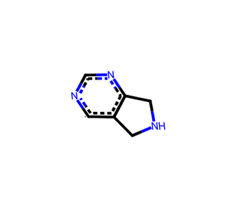 [c]1ncnc2c1CNC2